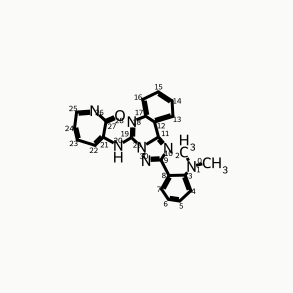 CN(C)c1ccccc1-c1nc2c3ccccc3nc(Nc3ccccnc3=O)n2n1